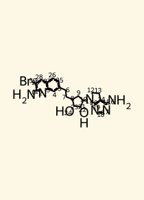 Nc1nc2cc(CCC3CC(N4CCc5c(N)ncnc54)C(O)C3O)ccc2cc1Br